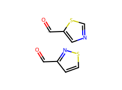 O=Cc1ccsn1.O=[C]c1cncs1